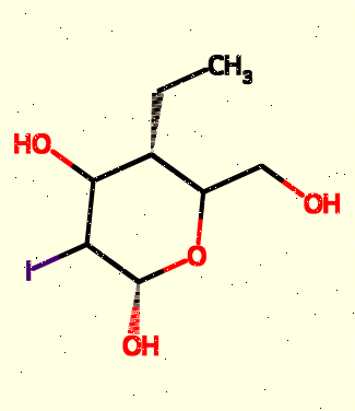 CC[C@@H]1C(CO)O[C@H](O)C(I)C1O